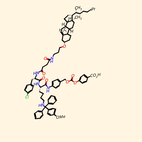 COc1ccc(C(NCCCC[C@H](NC(=O)[C@H](Cc2ccc(Cl)cc2)NC(=O)CCC(=O)NCCCO[C@H]2CC[C@@]3(C)C(=CC[C@H]4[C@@H]5CC[C@H]([C@H](C)CCCC(C)C)[C@@]5(C)CC[C@@H]43)C2)C(=O)Nc2ccc(COC(=O)Oc3ccc(C(=O)O)cc3)cc2)(c2ccccc2)c2ccccc2)cc1